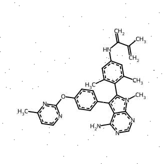 C=C(C)C(=C)Nc1cc(C)c(-c2c(-c3ccc(Oc4nccc(C)n4)cc3)c3c(N)ncnc3n2C)c(C)c1